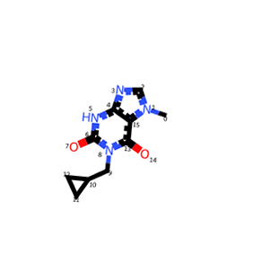 Cn1cnc2[nH]c(=O)n(CC3CC3)c(=O)c21